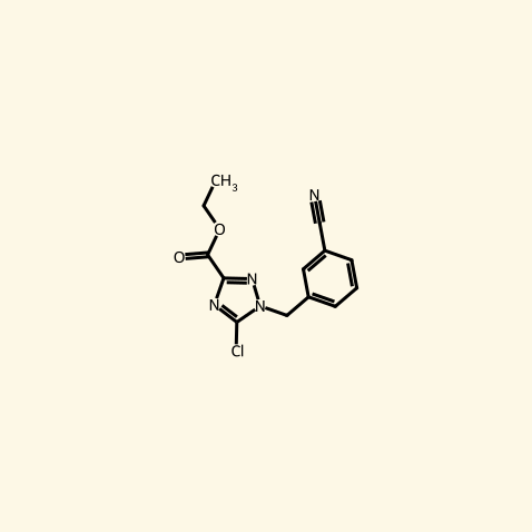 CCOC(=O)c1nc(Cl)n(Cc2cccc(C#N)c2)n1